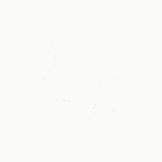 CNC(=O)c1cncc(OC2=NO[C@H](c3ccc(OC(F)(F)F)cc3)C2)c1